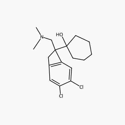 CN(C)CC1(C2(O)CCCCC2)Cc2cc(Cl)c(Cl)cc21